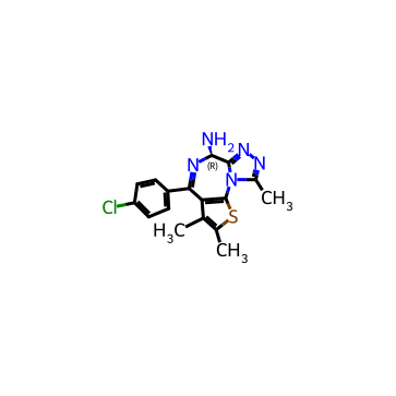 Cc1sc2c(c1C)C(c1ccc(Cl)cc1)=N[C@@H](N)c1nnc(C)n1-2